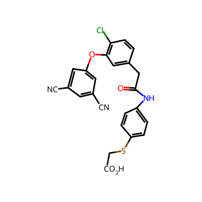 N#Cc1cc(C#N)cc(Oc2cc(CC(=O)Nc3ccc(SCC(=O)O)cc3)ccc2Cl)c1